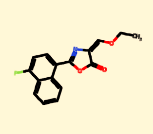 CCOC=C1N=C(c2ccc(F)c3ccccc23)OC1=O